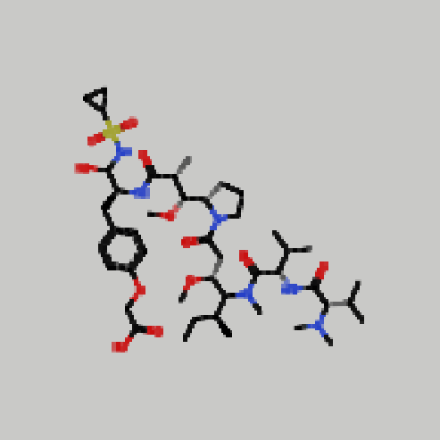 CC[C@H](C)[C@@H]([C@@H](CC(=O)N1CCC[C@H]1[C@H](OC)[C@@H](C)C(=O)N[C@@H](Cc1ccc(OCC(=O)O)cc1)C(O)NS(=O)(=O)C1CC1)OC)N(C)C(=O)[C@@H](NC(=O)[C@H](C(C)C)N(C)C)C(C)C